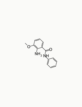 COc1cccc(C(=O)Nc2ccccc2)c1N